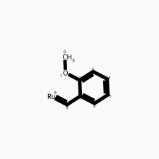 COc1ccccc1[CH]=[Ru]